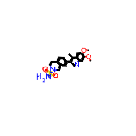 COc1cc2ncc(-c3ccc4c(c3)CN(S(N)(=O)=O)CC4)c(C)c2cc1OC